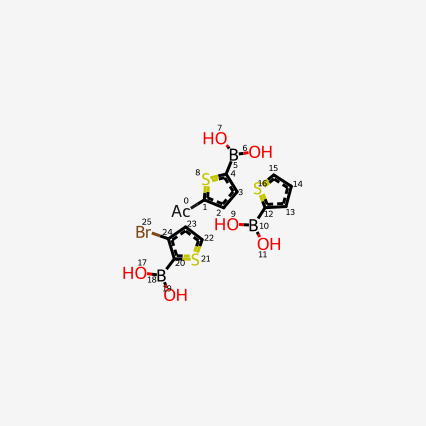 CC(=O)c1ccc(B(O)O)s1.OB(O)c1cccs1.OB(O)c1sccc1Br